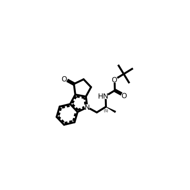 C[C@@H](Cn1c2c(c3ccccc31)C(=O)CC2)NC(=O)OC(C)(C)C